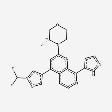 C[C@@H]1COCCN1c1cc(-c2cnn(C(F)F)c2)c2ccnc(-c3ccn[nH]3)c2n1